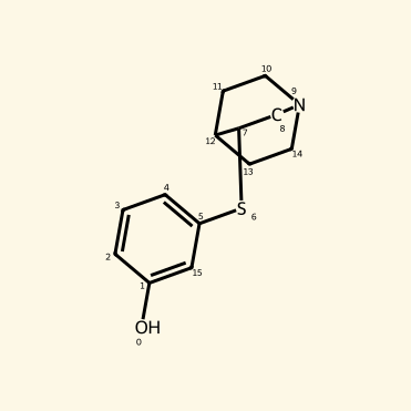 Oc1cccc(SC2CN3CCC2CC3)c1